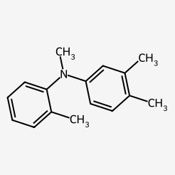 Cc1ccc(N(C)c2ccccc2C)cc1C